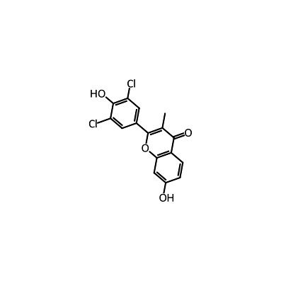 Cc1c(-c2cc(Cl)c(O)c(Cl)c2)oc2cc(O)ccc2c1=O